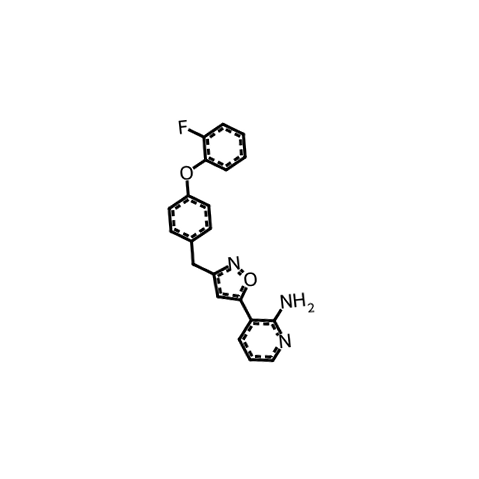 Nc1ncccc1-c1cc(Cc2ccc(Oc3ccccc3F)cc2)no1